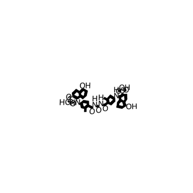 Cc1cc(Nc2c(S(=O)(=O)O)ccc3c(O)cccc23)ccc1C(=O)NC(=O)NC(=O)c1ccc(Nc2c(S(=O)(=O)O)ccc3c(O)cccc23)cc1C